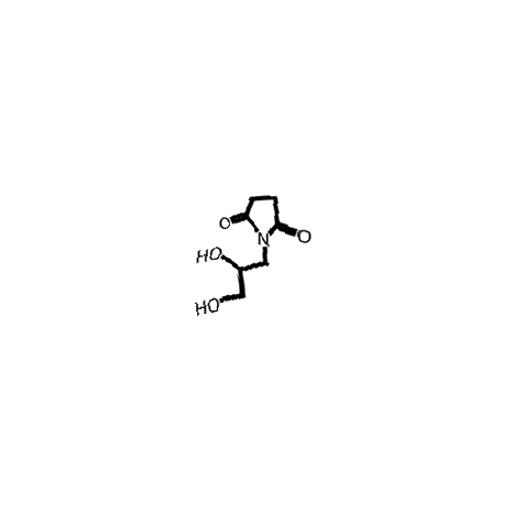 O=C1CCC(=O)N1CC(O)CO